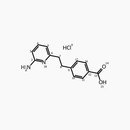 Cl.Nc1cccc(CCc2ccc(C(=O)O)cc2)n1